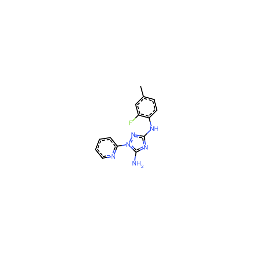 Cc1ccc(Nc2nc(N)n(-c3ccccn3)n2)c(F)c1